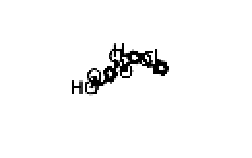 O=C(O)Cc1ccc(NC(=O)c2cc(OCc3ccccc3Cl)ccc2Cl)cc1